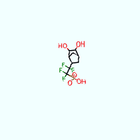 O=S(=O)(O)C(F)(F)C(F)(F)C1CC2CC1C(O)C2O